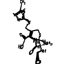 Cc1nnc(SCC2=C(C(=O)O)N3C(=O)[C@](N)(NC=O)[C@H]3SC2)s1